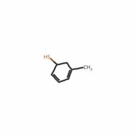 CC1=CC=CC(S)C1